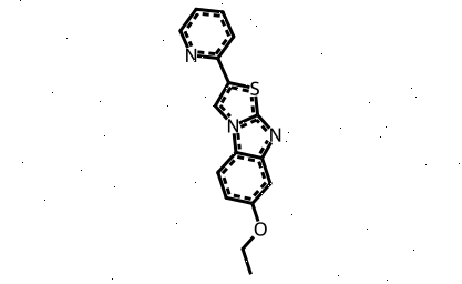 CCOc1ccc2c(c1)nc1sc(-c3ccccn3)cn12